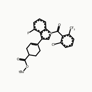 CC(C)(C)OC(=O)C1CC=C(c2cn(C(=O)c3c(Cl)cccc3C(F)(F)F)c3cccc(F)c23)CC1